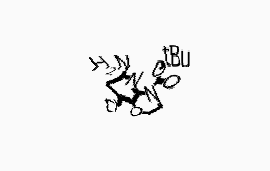 CC(C)(C)OC(=O)N1CCOc2c(Cl)cc(N)nc21